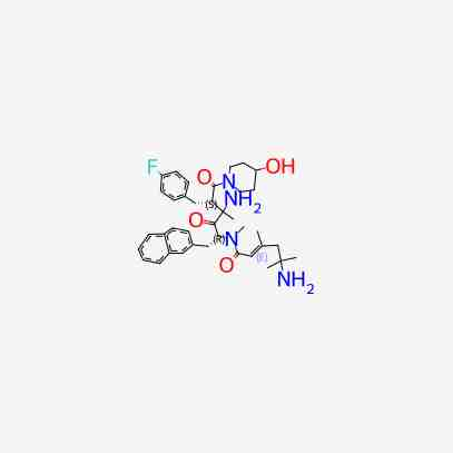 C/C(=C\C(=O)N(C)[C@H](Cc1ccc2ccccc2c1)C(=O)C(C)(N)[C@H](Cc1ccc(F)cc1)C(=O)N1CCC(O)CC1)CC(C)(C)N